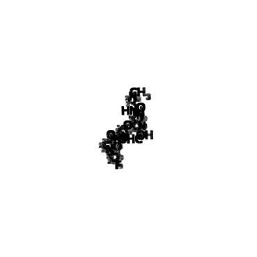 CN1CCC(C(=O)Nc2cc3c(Oc4ccc(NC(=O)c5cccn(-c6ccc(F)cc6)c5=O)nc4)ccnc3cn2)C1.O=CO